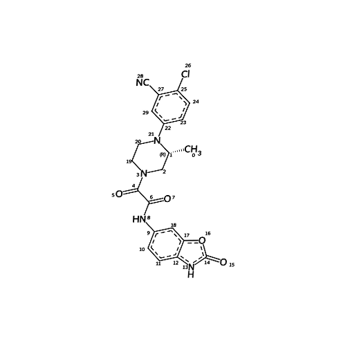 C[C@@H]1CN(C(=O)C(=O)Nc2ccc3[nH]c(=O)oc3c2)CCN1c1ccc(Cl)c(C#N)c1